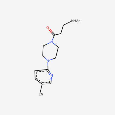 CC(=O)NCCC(=O)N1CCN(c2ccc(C#N)cn2)CC1